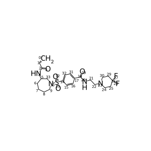 C=CC(=O)NC1CCCCN(S(=O)(=O)c2ccc(C(=O)NCCN3CCC(F)(F)CC3)cc2)C1